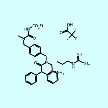 CCOC(=O)NC(=O)N(C)Cc1ccc(CN(C(=O)C(c2ccccc2)c2ccccc2)[C@H](CCCNC(=N)N)C(N)=O)cc1.O=C(O)C(F)(F)F